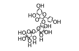 O=c1c(OC[C@@H]2OC(CO[C@@H]3OC(O)[C@H](O)[C@H](O)C3O)[C@H](O)[C@@H](O)C2O)c(-c2ccc(O)cc2)oc2cc(O)cc(O)c12